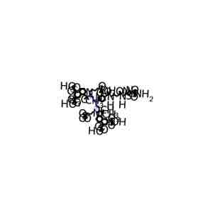 CC1(C)C(/C=C/C(=C/C=C2/N(CCCS(=O)(=O)O)c3ccc4c(S(=O)(=O)O)cc(S(=O)(=O)O)cc4c3C2(C)C)c2ccc(C(=O)NCCC(=O)Nc3nnc(S(N)(=O)=O)s3)cn2)=[N+](CCCS(=O)(=O)[O-])c2ccc3c(S(=O)(=O)O)cc(S(=O)(=O)O)cc3c21